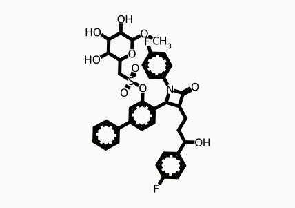 COC1OC(CS(=O)(=O)Oc2cc(-c3ccccc3)ccc2C2C(CCC(O)c3ccc(F)cc3)C(=O)N2c2ccc(F)cc2)C(O)C(O)C1O